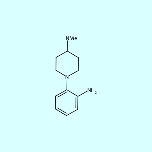 CNC1CCN(c2ccccc2N)CC1